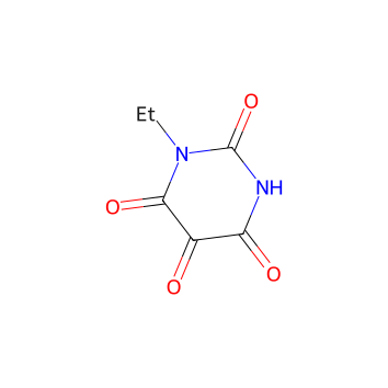 CCN1C(=O)NC(=O)C(=O)C1=O